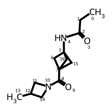 CCC(=O)NC12CC(C(=O)N3CC(C)C3)(C1)C2